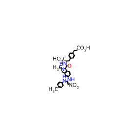 Cc1ccc(N/C(=C/[N+](=O)[O-])Nc2ccc3c(c2)CN(C)C3C(=O)NC(Cc2ccc(CCC(=O)O)cc2)C(=O)O)cc1